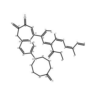 C=C\C(C)=C/C=C(C)\C(=C/C(=C\C)C1=CC(=O)C(=C)CC(/C=C\C(=C/C)N2CCCC(=C)CCC2)=N1)C(=C)CC